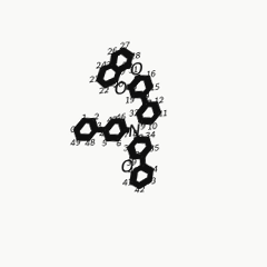 c1ccc(-c2ccc(N(c3cccc(-c4ccc5c(c4)Oc4cccc6cccc(c46)O5)c3)c3ccc4c(c3)oc3ccccc34)cc2)cc1